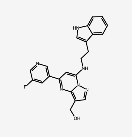 OCc1cnn2c(NCCc3c[nH]c4ccccc34)cc(-c3cncc(F)c3)nc12